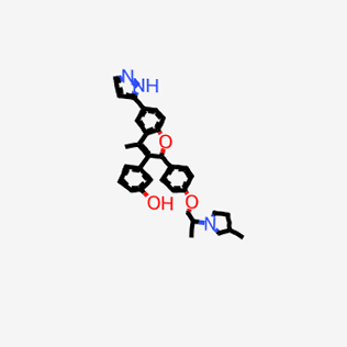 CC1=C(c2cccc(O)c2)C(c2ccc(OCC(C)N3CCC(C)C3)cc2)Oc2ccc(-c3ccn[nH]3)cc21